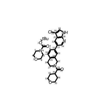 CC(C)(C)OC(=O)N1CCOC[C@H]1c1cc(-c2cnc3[nH]cc(Cl)c3c2)cc2c1CCN(C(=O)C1CCOCC1)C2